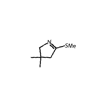 CSC1=NCC(C)(C)C1